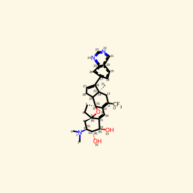 CN(C)[C@H]1C[C@@]23CC[C@@]4(O2)C(=C(C(F)(F)F)C[C@]2(C)C(c5ccc6cncnc6c5)=CCC24)C=C3[C@@H](O)[C@@H]1O